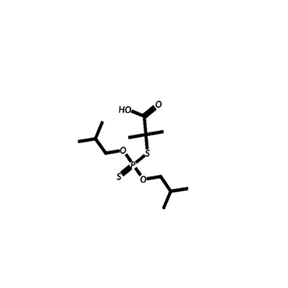 CC(C)COP(=S)(OCC(C)C)SC(C)(C)C(=O)O